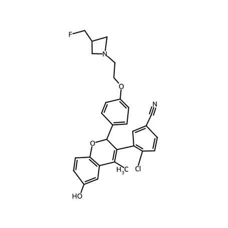 CC1=C(c2cc(C#N)ccc2Cl)C(c2ccc(OCCN3CC(CF)C3)cc2)Oc2ccc(O)cc21